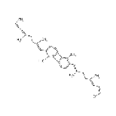 C/C=C\C=C(/C)CC/C(C)=C/c1ccc2c(c1C)-c1ccc(/C=C(\C)CC/C(C)=C/C=C\CC)c(C)c1-2